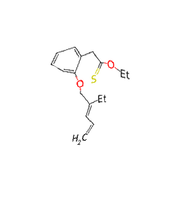 C=C/C=C(\CC)COc1ccccc1CC(=S)OCC